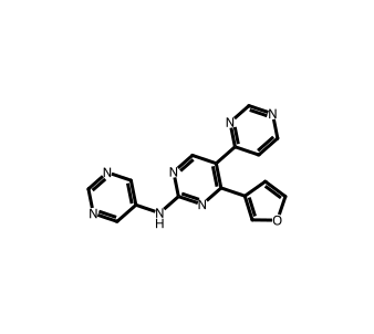 c1cc(-c2cnc(Nc3cncnc3)nc2-c2ccoc2)ncn1